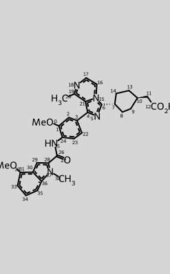 COc1cc(-c2nc([C@H]3CC[C@H](CC(=O)O)CC3)n3ccnc(C)c23)ccc1NC(=O)c1cc2c(OC)cccc2n1C